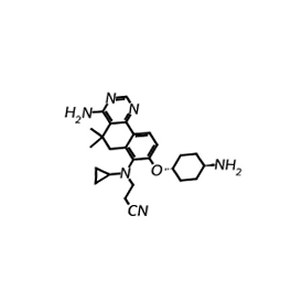 CC1(C)Cc2c(ccc(O[C@H]3CC[C@H](N)CC3)c2N(CCC#N)C2CC2)-c2ncnc(N)c21